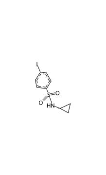 O=S(=O)(N[C]1CC1)c1ccc(I)cc1